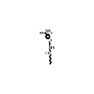 CCCCCCNCCNCCCOc1ccc(C(=N)N)cc1